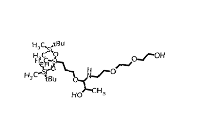 CC(O)C(NCCOCCOCCO)OCCC[Si](C)(O[Si](C)(C)C(C)(C)C)O[Si](C)(C)C(C)(C)C